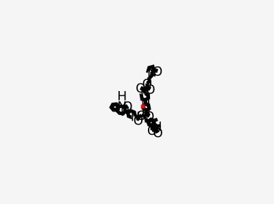 Cc1cc(C[C@@H](OC(=O)N2CCC(N3CCc4ccccc4NC3=O)CC2)C(=O)N2CCN(C3CCN(C(=O)C(=O)OCCCN4CCCC4=O)CC3)CC2)cc2oc(=O)n(C)c12